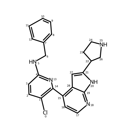 Clc1ccc(NCc2ccccc2)nc1-c1ccnc2[nH]c(C3CCNC3)cc12